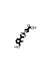 O=C(O)C1CN(c2ncc(-c3cccc(CO)c3F)cn2)C1